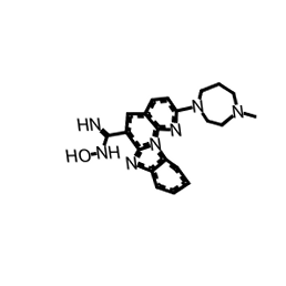 CN1CCCN(c2ccc3cc(C(=N)NO)c4nc5ccccc5n4c3n2)CC1